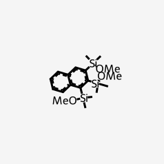 CO[Si](C)(C)c1cc2ccccc2c([Si](C)(C)OC)c1[Si](C)(C)OC